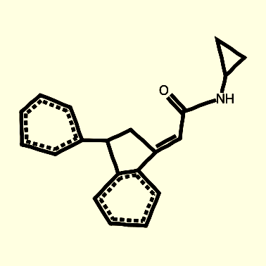 O=C(C=C1CC(c2ccccc2)c2ccccc21)NC1CC1